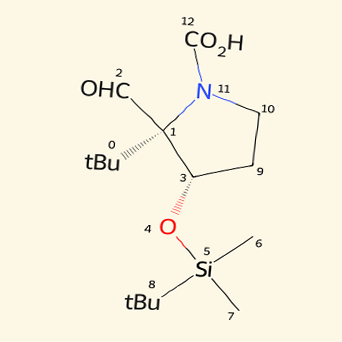 CC(C)(C)[C@@]1(C=O)[C@@H](O[Si](C)(C)C(C)(C)C)CCN1C(=O)O